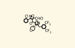 O=Cc1onc(-c2ccccc2Cl)c1C(=O)c1nnn(Cc2cc(C(F)(F)F)cc(C(F)(F)F)c2)c1N1CCOCC1